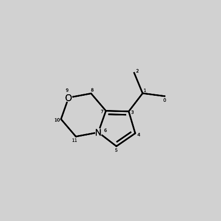 CC(C)c1ccn2c1COCC2